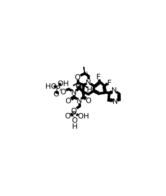 C[C@H]1CN2c3c(cc(-c4cnccn4)c(F)c3F)CC3(C(=O)N(COP(=O)(O)O)C(=O)N(COP(=O)(O)O)C3=O)[C@@H]2[C@@H](C)O1